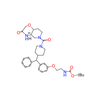 CC(C)(C)OC(=O)NCCOc1cccc(C(c2ccccc2)C2CCN(C(=O)N3CCC4OCC(=O)N[C@@H]4C3)CC2)c1